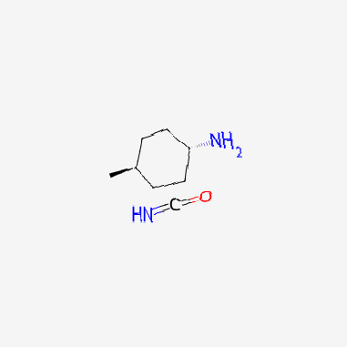 C[C@H]1CC[C@H](N)CC1.N=C=O